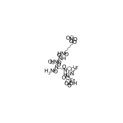 CC[C@@]1(O)C(=O)OCc2c1cc1n(c2=O)Cc2c-1nc1cc(F)c(C)c3c1c2[C@@H](NC(=O)CCCN(CC(N)=O)C(=O)[C@H](Cc1ccccc1)NC(=O)CNC(=O)CNC(=O)CCCCCCC(=O)ON1C(=O)CCC1=O)CC3